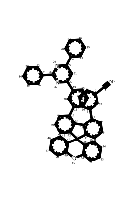 N#Cc1cccc(-c2cccc3c2-c2c(-c4cccc(-c5cc(-c6ccccc6)nc(-c6ccccc6)n5)c4)cccc2C32c3ccccc3Oc3ccccc32)c1